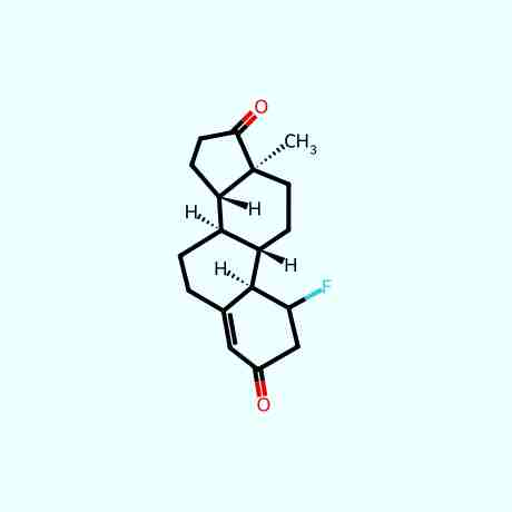 C[C@]12CC[C@H]3[C@@H](CCC4=CC(=O)CC(F)[C@@H]43)[C@@H]1CCC2=O